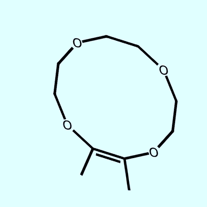 C/C1=C(\C)OCCOCCOCCO1